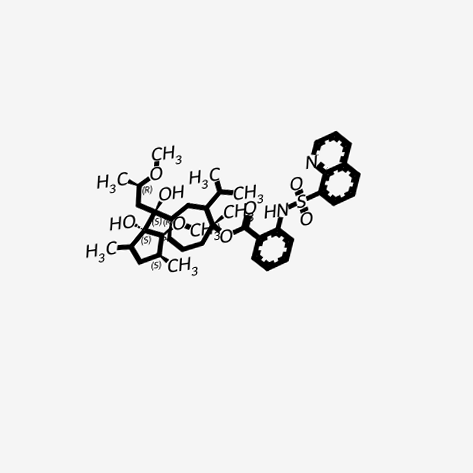 CO[C@H](C)C[C@](O)([C@@H]1CCC[C@@](C)(OC(=O)c2ccccc2NS(=O)(=O)c2cccc3cccnc23)C(C(C)C)C1)[C@]1(O)C(C)C[C@H](C)[C@@H]1OC